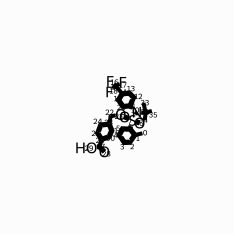 Cc1ccccc1S(=O)(=O)N(c1ccc(C(F)(F)F)cc1OCc1ccc(C(=O)O)cc1)C(C)(C)C